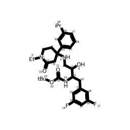 CCN1CCC(NCC(O)C(Cc2cc(F)cc(F)c2)NC(=O)OC(C)(C)C)(c2cccc(C(C)C)c2)CC1=O